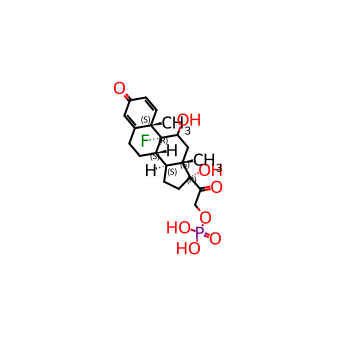 C[C@]12C=CC(=O)C=C1CC[C@H]1[C@@H]3CC[C@](O)(C(=O)COP(=O)(O)O)[C@@]3(C)CC(O)[C@@]12F